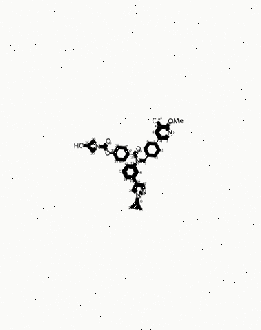 COc1ncc([C@H]2CC[C@H](CN(c3cccc(-c4cnn(C5CC5)c4)c3)C(=O)[C@H]3CC[C@H](OC(=O)N4CC(O)C4)CC3)CC2)cc1Cl